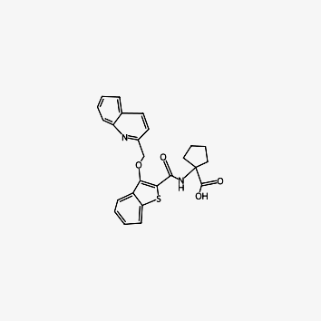 O=C(NC1(C(=O)O)CCCC1)c1sc2ccccc2c1OCc1ccc2ccccc2n1